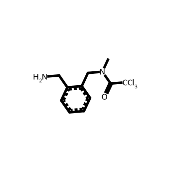 CN(Cc1ccccc1CN)C(=O)C(Cl)(Cl)Cl